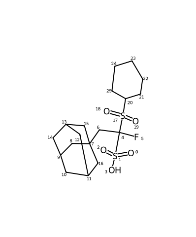 O=S(=O)(O)C(F)(CC12CC3CC(CC(C3)C1)C2)S(=O)(=O)C1CCCCC1